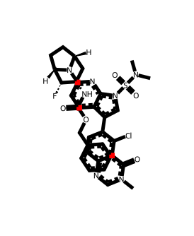 CN(C)S(=O)(=O)n1cc(-c2ccc3ncn(C)c(=O)c3c2Cl)c2ncc(N3[C@@H]4CC[C@H]3[C@@H](F)[C@@H](NC(=O)OCc3ccccc3)C4)nc21